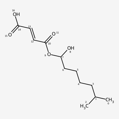 CC(C)CCCCC(O)OC(=O)/C=C/C(=O)O